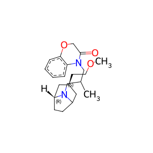 COCC[C@H]1CC2CC[C@H](C1)N2CC(C)CN1C(=O)COc2ccccc21